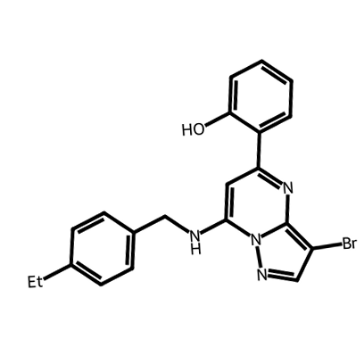 CCc1ccc(CNc2cc(-c3ccccc3O)nc3c(Br)cnn23)cc1